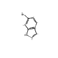 Brc1ccc2cn[nH]c2n1